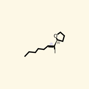 CCCCC/C=C(\I)[C@@H]1CCCO1